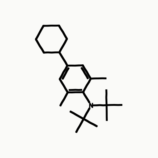 Cc1cc(C2CCCCC2)cc(C)c1N(C(C)(C)C)C(C)(C)C